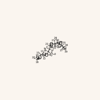 CCCC(C)(C(CC)(CC)O[Si](C)(C)C(C)O[Si](C)(C)C)[Si](C)(C)OC(C)(CC)[Si](C)(C)OC(C)(C)[Si](C)(C)C